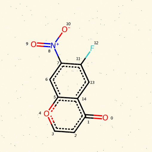 O=c1ccoc2cc([N+](=O)[O-])c(F)cc12